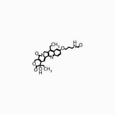 CCc1c2c(nc3ccc(OCCCNC=O)cc13)-c1cc3c(c(=O)n1C2)COC(=O)[C@]3(O)CC